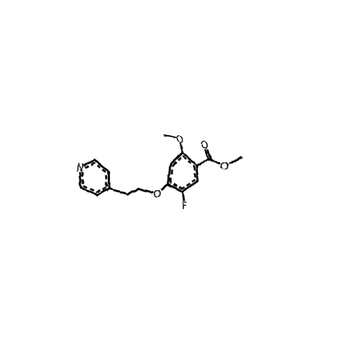 COC(=O)c1cc(F)c(OCCc2ccncc2)cc1OC